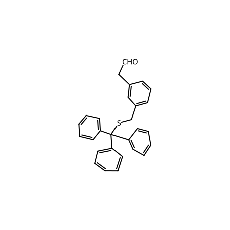 O=CCc1cccc(CSC(c2ccccc2)(c2ccccc2)c2ccccc2)c1